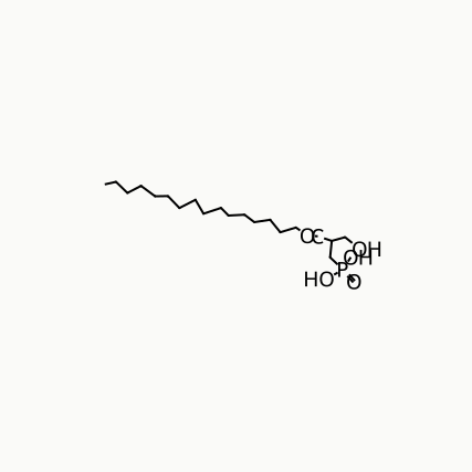 CCCCCCCCCCCCCCCCOCC(CO)CP(=O)(O)O